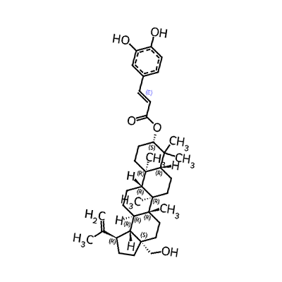 C=C(C)[C@@H]1CC[C@]2(CO)CC[C@]3(C)[C@H](CC[C@@H]4[C@@]5(C)CC[C@H](OC(=O)/C=C/c6ccc(O)c(O)c6)C(C)(C)[C@@H]5CC[C@]43C)[C@@H]12